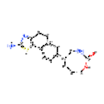 Nc1nc2c(s1)-c1ccc([C@H]3CCCOC(=O)NC3)cc1CC2